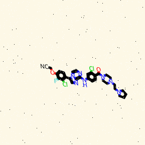 N#CCOc1ccc(-c2cnc3c(Nc4ccc(C(=O)N5CCN(CCN6CCCC6)CC5)c(Cl)c4)nccn23)c(Cl)c1F